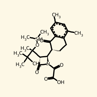 Cc1cc(C)c2c(c1)C(=O)[C@@H]([C@@H]1[C@@H]([C@@](C)(O[SiH](C)C)C(C)(C)C)C(=O)N1C(=O)C(=O)O)CC2